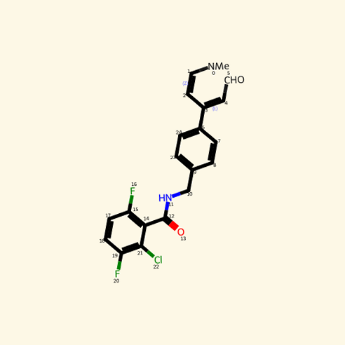 CN/C=C\C(=C/C=O)c1ccc(CNC(=O)c2c(F)ccc(F)c2Cl)cc1